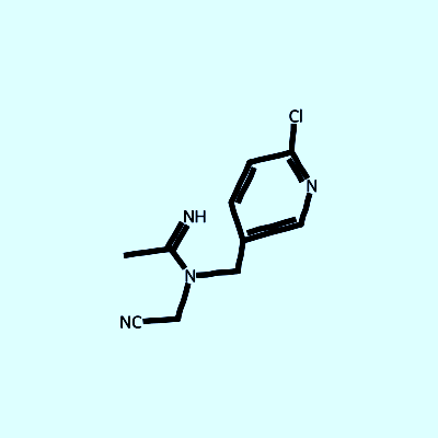 CC(=N)N(CC#N)Cc1ccc(Cl)nc1